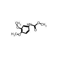 COC(=O)Nc1ccc(OC)c(OC)c1